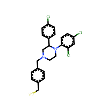 SCc1ccc(CN2CCN(c3ccc(Cl)cc3Cl)C(c3ccc(Cl)cc3)C2)cc1